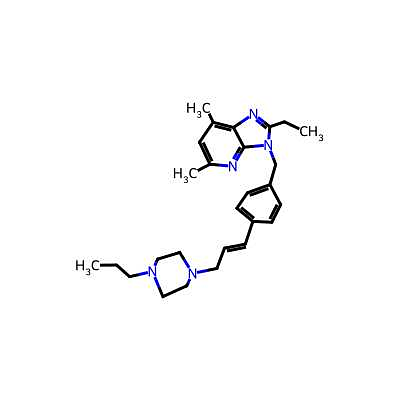 CCCN1CCN(CC=Cc2ccc(Cn3c(CC)nc4c(C)cc(C)nc43)cc2)CC1